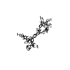 CCN(c1cc(-c2ccc(OCCCCOc3cc(C(C(=O)N4C[C@H](O)C[C@H]4C(=O)N[C@@H](C)c4ccc(-c5scnc5C)cc4)C(C)C)on3)cc2)cc(C(=O)NCC2=C(C)C=C(C)NC2C)c1C)C1CCOCC1